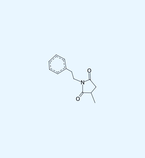 CC1CC(=O)N(CCc2ccccc2)C1=O